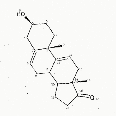 C[C@]12CC[C@H](O)CC1=CCC1C2=CC[C@]2(C)C(=O)CCC12